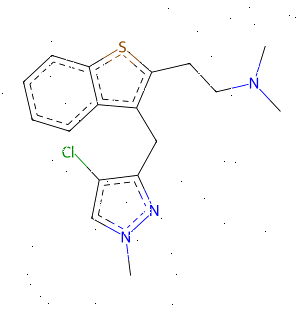 CN(C)CCc1sc2ccccc2c1Cc1nn(C)cc1Cl